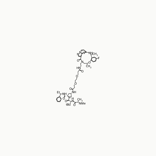 CC[C@@H](NC(=O)[C@@H]1C[C@H](NC(=O)CCOCCOCCC(=O)NCCN2C[C@H](C)Oc3ccc(F)cc3C(C)Nc3ccn4ncc(c4n3)C2=O)CN1C(=O)[C@@H](NC(=O)[C@H](C)NC)C(C)(C)C)c1ccccc1